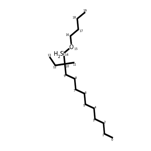 CCCCCCCCCCC(C)(CC)[SiH2]OCCCC